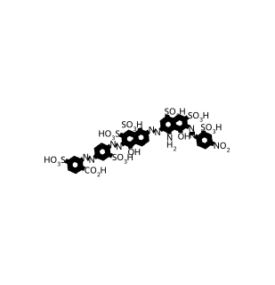 Nc1c(N=Nc2ccc3c(O)c(N=Nc4ccc(N=Nc5cc(S(=O)(=O)O)ccc5C(=O)O)cc4S(=O)(=O)O)c(S(=O)(=O)O)cc3c2S(=O)(=O)O)cc(S(=O)(=O)O)c2cc(S(=O)(=O)O)c(N=Nc3ccc([N+](=O)[O-])cc3S(=O)(=O)O)c(O)c12